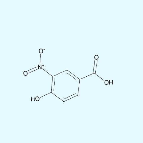 O=C(O)c1c[c]c(O)c([N+](=O)[O-])c1